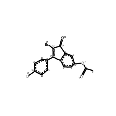 CC(=O)Oc1ccc2c(c1)C(=O)C(Br)=C2c1ccc(Cl)cc1